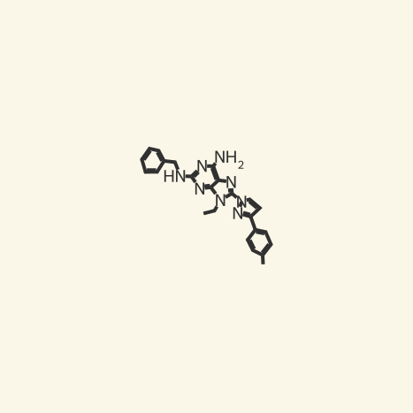 CCn1c(-n2ccc(-c3ccc(C)cc3)n2)nc2c(N)nc(NCc3ccccc3)nc21